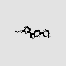 CSc1nccc(-c2cnn3nc(C4CNCCO4)ccc23)n1